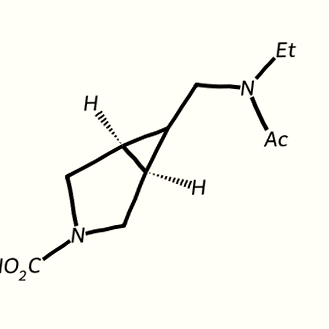 CCN(CC1[C@H]2CN(C(=O)O)C[C@@H]12)C(C)=O